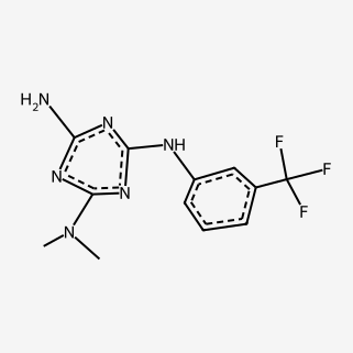 CN(C)c1nc(N)nc(Nc2cccc(C(F)(F)F)c2)n1